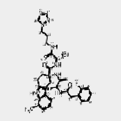 C=C(N[C@]1(C(=O)N[C@H](C(=S)NCCCn2cncn2)C(C)CC)CCc2[nH]c3c(C(F)(F)F)cccc3c2C1)[C@@H](NC(=O)Cc1ccccc1F)C(C)CC